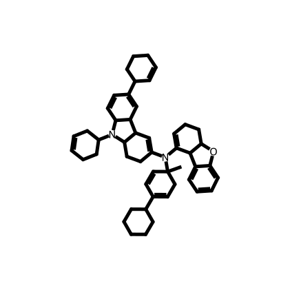 CC1(N(C2=CC3C4C=C(C5C=CCCC5)C=CC4N(C4CC=CCC4)C3CC2)C2=CCCC3Oc4ccccc4C23)C=CC(C2CCCCC2)=CC1